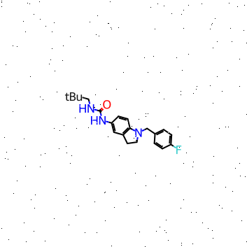 CC(C)(C)CNC(=O)Nc1ccc2c(c1)CCN2Cc1ccc(F)cc1